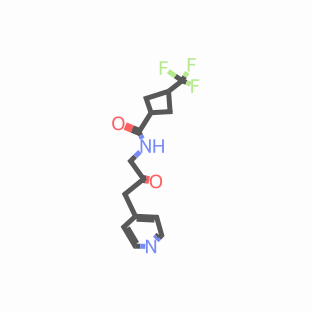 O=C(CNC(=O)C1CC(C(F)(F)F)C1)Cc1ccncc1